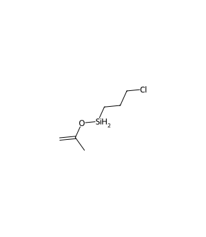 C=C(C)O[SiH2]CCCCl